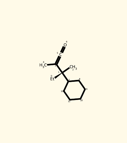 CC[C@](C)(C(C)=C=O)C1CCCCC1